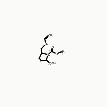 C=COC[C@@H]1CCC(OC)N1C(=O)OC(C)(C)C